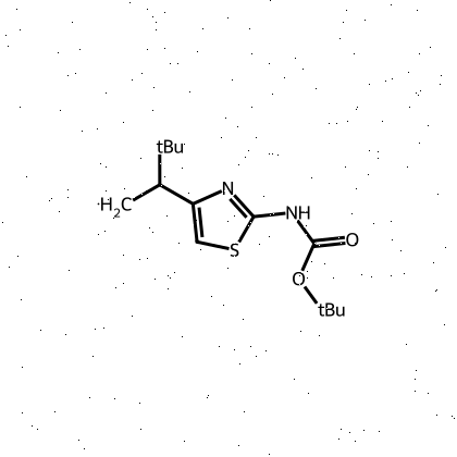 [CH2]C(c1csc(NC(=O)OC(C)(C)C)n1)C(C)(C)C